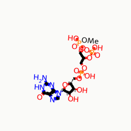 COP(=O)(O)OCC(COP(=O)(O)OC[C@H]1O[C@@H](n2cnc3c(=O)[nH]c(N)nc32)[C@H](O)[C@@H]1O)OP(=O)(O)O